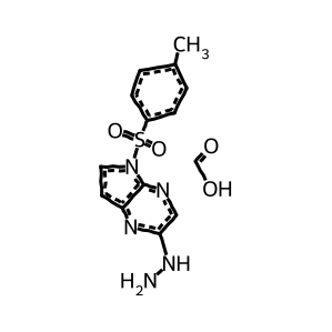 Cc1ccc(S(=O)(=O)n2ccc3nc(NN)cnc32)cc1.O=CO